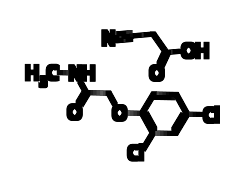 CNC(=O)COc1ccc(Cl)cc1Cl.N#CCC(=O)O